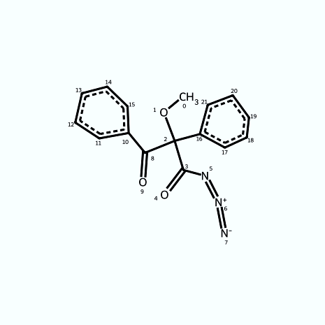 COC(C(=O)N=[N+]=[N-])(C(=O)c1ccccc1)c1ccccc1